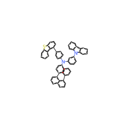 c1ccc(-c2cccc3cccc(-c4ccc(N(c5ccc(-c6cccc7sc8ccccc8c67)cc5)c5cccc(-n6c7ccccc7c7ccccc76)c5)cc4)c23)cc1